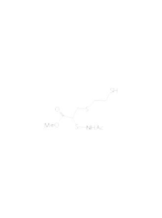 COC(=O)C(CSCCS)SNC(C)=O